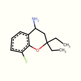 CCC1(CC)CC(N)c2cccc(F)c2O1